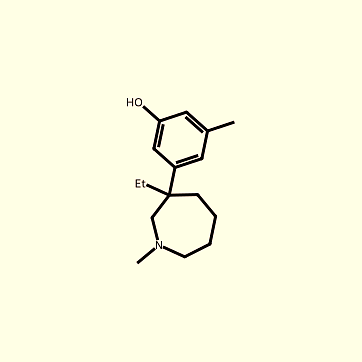 CCC1(c2cc(C)cc(O)c2)CCCCN(C)C1